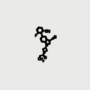 C=CC(=O)N1CC(n2cc(C#N)c3cc(-c4c(O)cccc4F)ccc32)C1